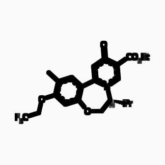 CCOC(=O)c1cn2c(cc1=O)-c1cc(C)c(OCC(F)(F)F)cc1OC[C@H]2C(C)C